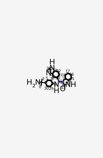 CC(C)(N)c1ccc(N/C(=C2\C(=O)Nc3ccccc32)c2ccc3[nH]cnc3c2)cc1